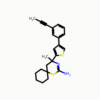 CC#Cc1cccc(-c2csc(C3(C)CC4(CCCCC4)SC(N)=N3)c2)c1